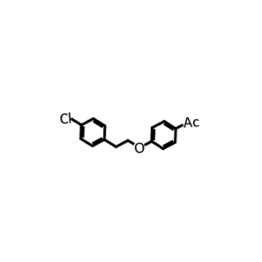 CC(=O)c1ccc(OCCc2ccc(Cl)cc2)cc1